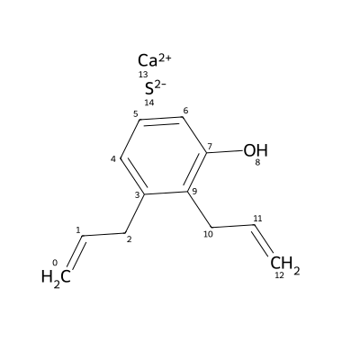 C=CCc1cccc(O)c1CC=C.[Ca+2].[S-2]